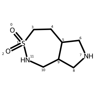 O=S1(=O)CCC2CNCC2CN1